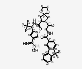 N=C(NO)c1csc([C@H](NC(=O)C2CC3(CN2C(=O)CNC(=O)c2ccc4c(c2)-c2ccccc2C4(F)F)OCCO3)C(F)(F)F)c1